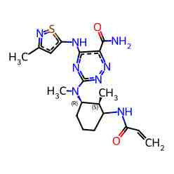 C=CC(=O)NC1CCC[C@@H](N(C)c2nnc(C(N)=O)c(Nc3cc(C)ns3)n2)[C@H]1C